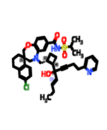 CC/C=C/[C@@](O)(C#CCCc1ccccn1)[C@@H]1CC[C@H]1CN1C[C@@]2(CCCc3cc(Cl)ccc32)COc2ccc(C(=O)NS(=O)(=O)C(C)C)cc21